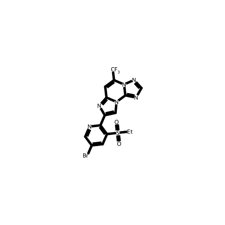 CCS(=O)(=O)c1cc(Br)cnc1-c1cn2c(cc(C(F)(F)F)n3ncnc32)n1